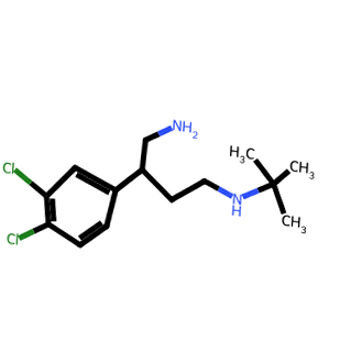 CC(C)(C)NCCC(CN)c1ccc(Cl)c(Cl)c1